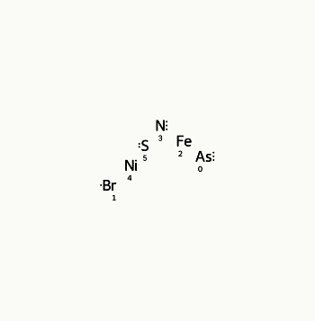 [As].[Br].[Fe].[N].[Ni].[S]